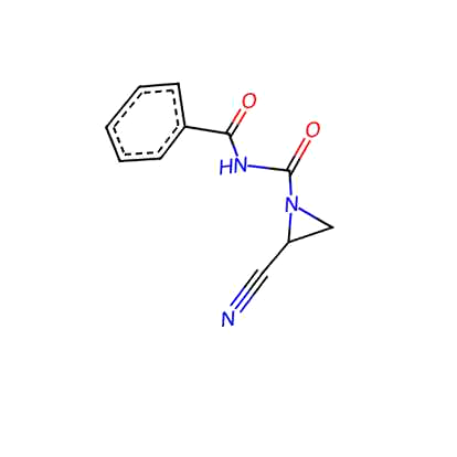 N#CC1CN1C(=O)NC(=O)c1ccccc1